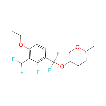 CCOc1ccc(C(F)(F)OC2CCC(C)OC2)c(F)c1C(F)F